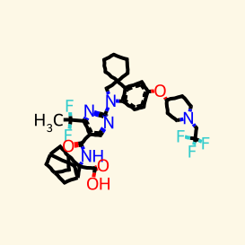 CC(F)(F)c1nc(N2CC3(CCCCC3)c3cc(OC4CCN(CC(F)(F)F)CC4)ccc32)ncc1C(=O)NC1(C(=O)O)C2CC3CC(C2)CC1C3